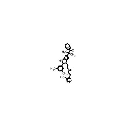 Cc1cc(C)cc(C2Nc3sc(C(C)(C)C(=O)N4C5CCC4CC5)cc3C2CCNCCc2scnc2C)c1